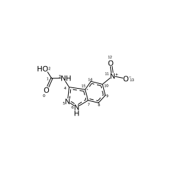 O=C(O)Nc1n[nH]c2ccc([N+](=O)[O-])cc12